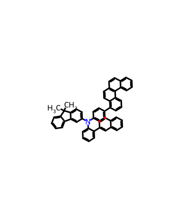 CC1(C)c2ccccc2-c2cc(N(c3ccc(-c4cccc5c4ccc4ccc6ccccc6c45)cc3)c3ccccc3-c3ccc4ccccc4c3)ccc21